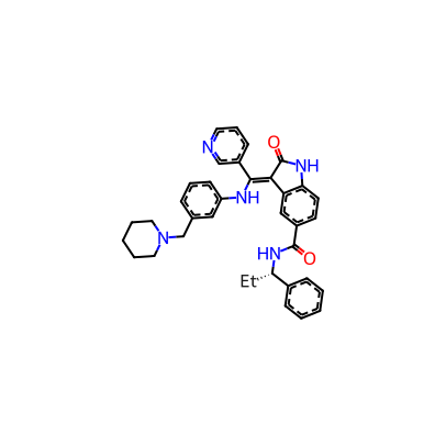 CC[C@H](NC(=O)c1ccc2c(c1)C(=C(Nc1cccc(CN3CCCCC3)c1)c1cccnc1)C(=O)N2)c1ccccc1